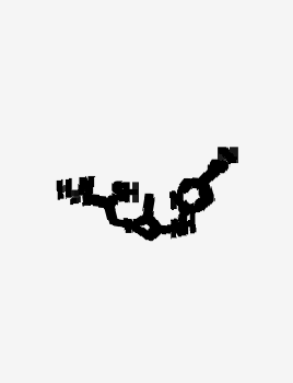 CC1C(Nc2ccc(C#N)cn2)CN1C/C(S)=C/N